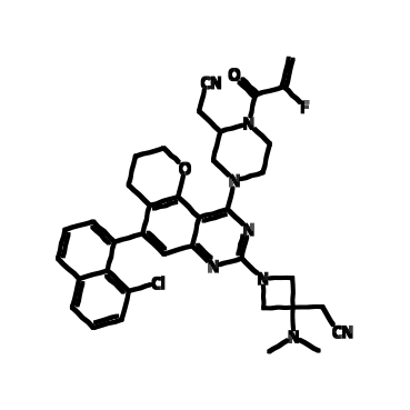 C=C(F)C(=O)N1CCN(c2nc(N3CC(CC#N)(N(C)C)C3)nc3cc(-c4cccc5cccc(Cl)c45)c4c(c23)OCCC4)CC1CC#N